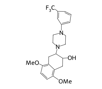 COc1ccc(OC)c2c1CC(O)C(N1CCN(c3cccc(C(F)(F)F)c3)CC1)C2